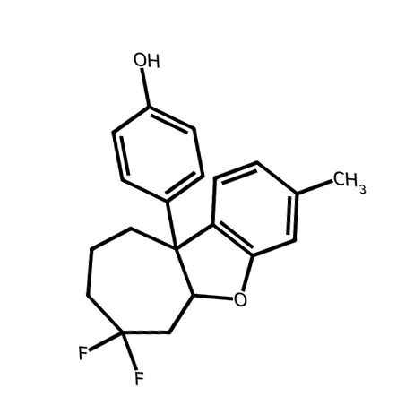 Cc1ccc2c(c1)OC1CC(F)(F)CCCC21c1ccc(O)cc1